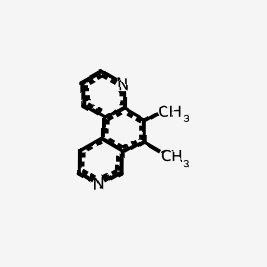 Cc1c(C)c2ncccc2c2ccncc12